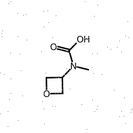 CN(C(=O)O)C1COC1